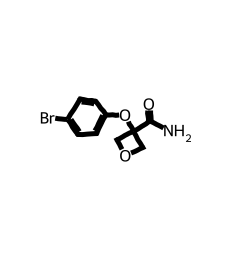 NC(=O)C1(Oc2ccc(Br)cc2)COC1